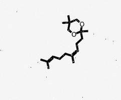 CC(C)=CCCC(C)=CCCC1(C)OCC(C)(C)CO1